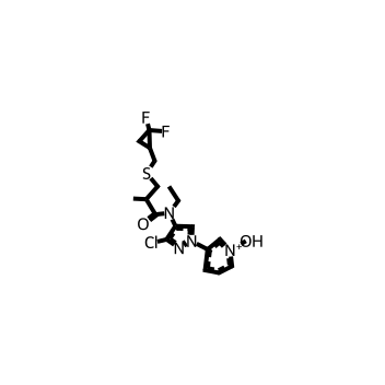 CCN(C(=O)C(C)CSCC1CC1(F)F)c1cn(-c2ccc[n+](O)c2)nc1Cl